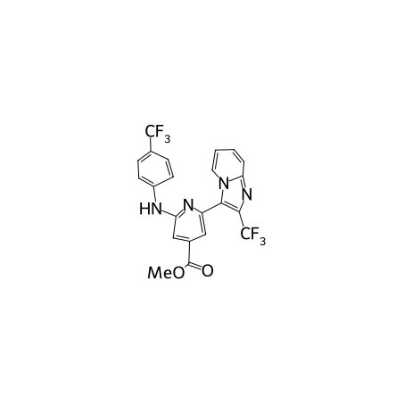 COC(=O)c1cc(Nc2ccc(C(F)(F)F)cc2)nc(-c2c(C(F)(F)F)nc3ccccn23)c1